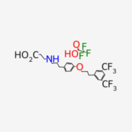 O=C(O)C(F)(F)F.O=C(O)CCNCCCc1ccc(OCCCc2cc(C(F)(F)F)cc(C(F)(F)F)c2)cc1